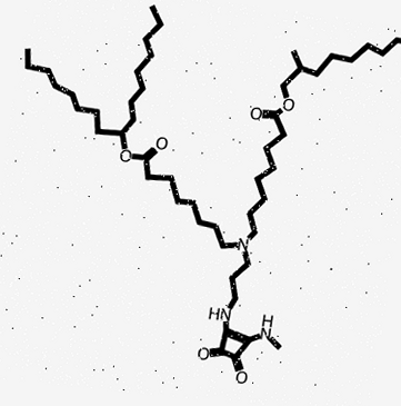 CCCCCCCCC(CCCCCCCC)OC(=O)CCCCCCCN(CCCCCCCC(=O)OCC(C)CCCCCCC)CCCNc1c(NC)c(=O)c1=O